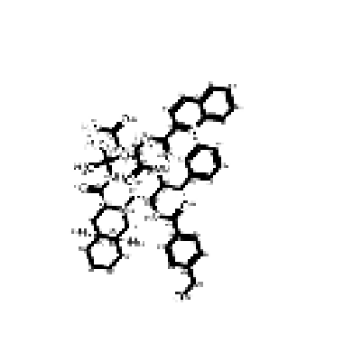 CC(C)(C)NC(=O)[C@@H]1C[C@@H]2CCCC[C@@H]2CN1C[C@@H](OC(=O)c1ccc(CCl)cc1)[C@H](Cc1ccccc1)NC(=O)[C@H](CC(N)=O)NC(=O)c1ccc2ccccc2n1